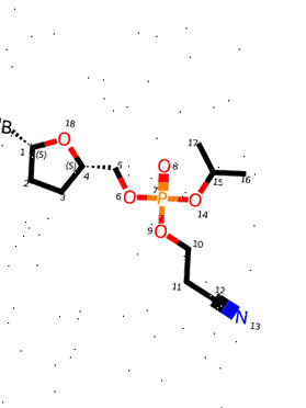 B[C@H]1CC[C@@H](COP(=O)(OCCC#N)OC(C)C)O1